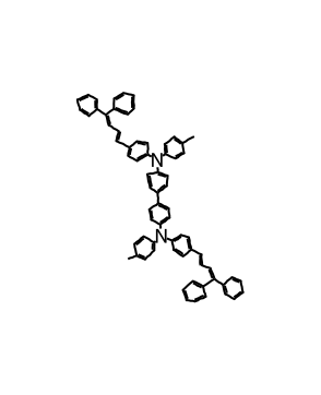 Cc1ccc(N(c2ccc(C=CC=C(c3ccccc3)c3ccccc3)cc2)c2ccc(-c3ccc(N(c4ccc(C)cc4)c4ccc(C=CC=C(c5ccccc5)c5ccccc5)cc4)cc3)cc2)cc1